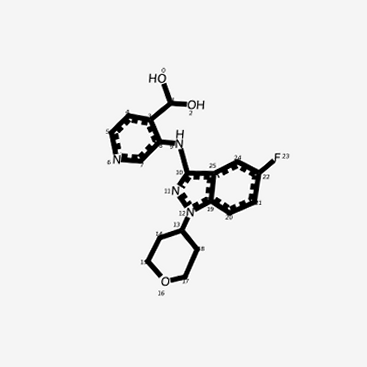 OC(O)c1ccncc1Nc1nn(C2CCOCC2)c2ccc(F)cc12